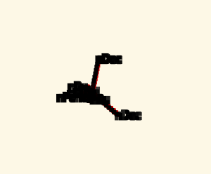 CCCCCC1=C(c2cccc(CCCC)c2)[N+](=[N-])C(c2cccc(CCCC)c2)=C1CCCC.CCCCCCCCCCCCCCCCCCCCCCCCCCCC[CH2][Pd][CH2]CCCCCCCCCCCCCCCCCCCCCCCCCCCC